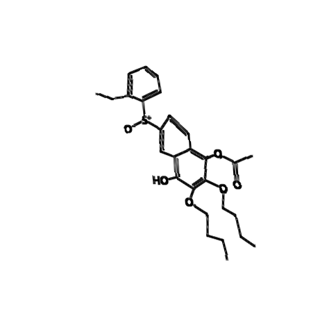 CCCCOc1c(OCCCC)c(OC(C)=O)c2ccc([S+]([O-])c3ccccc3CC)cc2c1O